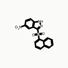 O=[N+]([O-])c1ccc2[nH]nc(S(=O)(=O)c3cccc4ccccc34)c2c1